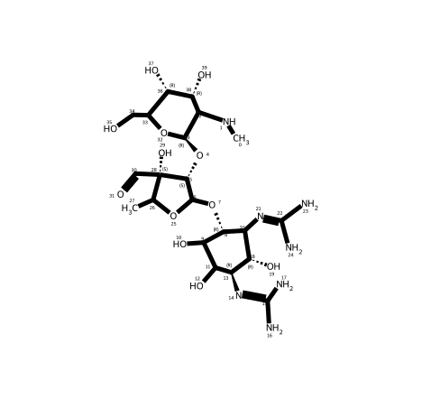 CNC1[C@@H](O[C@@H]2C(O[C@H]3C(O)C(O)[C@H](N=C(N)N)[C@@H](O)C3N=C(N)N)OC(C)[C@@]2(O)C=O)OC(CO)[C@H](O)[C@@H]1O